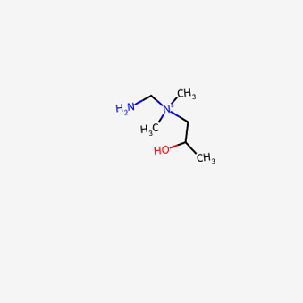 CC(O)C[N+](C)(C)CN